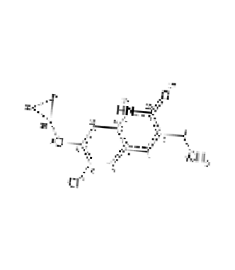 CCc1cc2cc(Cl)c(OC3CC3)cc2[nH]c1=O